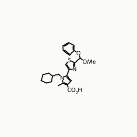 COC(Oc1ccccc1)c1nc(-c2cc(C(=O)O)c(C)n2CC2CCCCC2)cs1